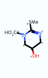 CSC1=NCC(O)CN1C(=O)O